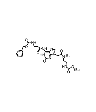 CCN(CCNC(=O)OC(C)(C)C)C(=O)Cn1cnc2c(NC(=O)CCNC(=O)OCc3ccccc3)[nH]c(=O)nc21